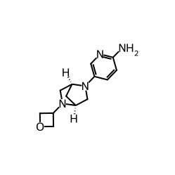 Nc1ccc(N2C[C@@H]3C[C@H]2CN3C2COC2)cn1